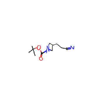 CC(C)(C)OC(=O)N1CC(CCC#N)C1